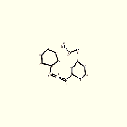 C(=NC1CCCCC1)=NC1CCCCC1.CCOCC